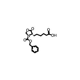 O=C(O)CCCCC[C@H]1C(=O)OCN1C(=O)OCc1ccccc1